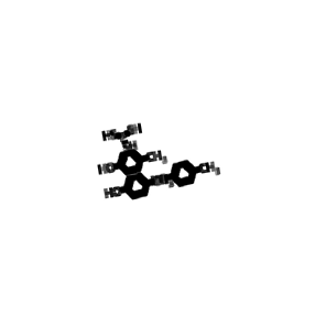 Cc1ccc(O)cc1.Cc1ccc(O)cc1.Cc1ccc(O)cc1.SP(S)S